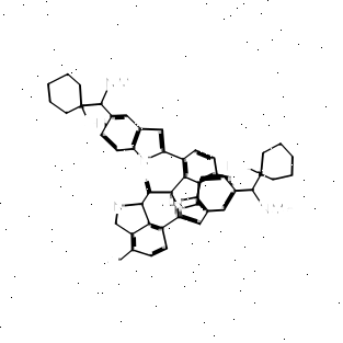 CNC(c1ccc2[nH]c(-c3ccc(Cl)c4c3C(C(=O)C3NCc5c(Cl)ccc(-c6cc7cc(C(NC)C8(O)CCCCC8)ccc7[nH]6)c53)NC4)cc2c1)C1(O)CCCCC1